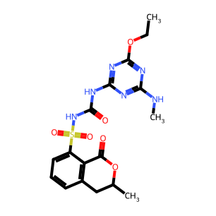 CCOc1nc(NC)nc(NC(=O)NS(=O)(=O)c2cccc3c2C(=O)OC(C)C3)n1